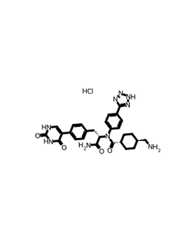 Cl.NC[C@H]1CC[C@H](C(=O)N(c2ccc(-c3nn[nH]n3)cc2)[C@@H](Cc2ccc(-c3c[nH]c(=O)[nH]c3=O)cc2)C(N)=O)CC1